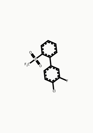 O=S(=O)(c1ccc[c]c1-c1ccc(Cl)c(F)c1)C(F)(F)F